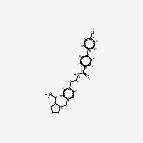 NCC1CCCN1Cc1ccc(CCNC(=O)c2ccc(-c3ccc(Cl)cc3)cc2)cc1